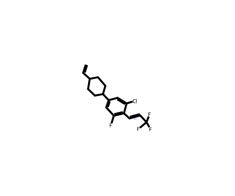 C=CC1CCC(c2cc(F)c(/C=C/C(F)(F)F)c(Cl)c2)CC1